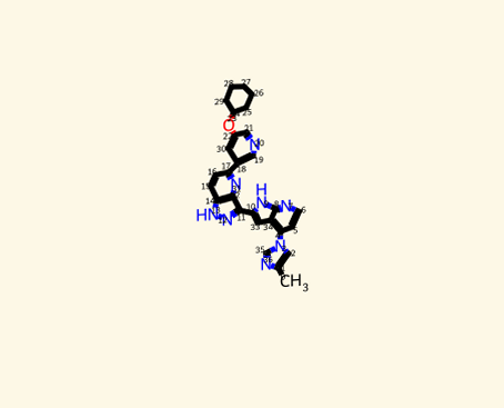 Cc1cn(-c2ccnc3[nH]c(-c4n[nH]c5ccc(-c6cncc(OC7CCCCC7)c6)nc45)cc23)cn1